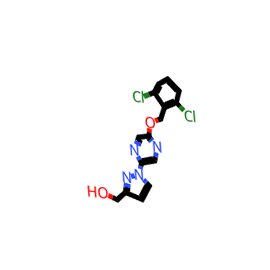 OCc1ccn(-c2cnc(OCc3c(Cl)cccc3Cl)cn2)n1